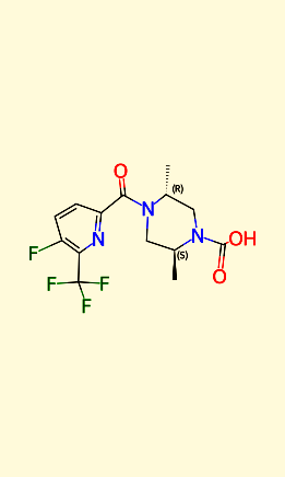 C[C@@H]1CN(C(=O)O)[C@@H](C)CN1C(=O)c1ccc(F)c(C(F)(F)F)n1